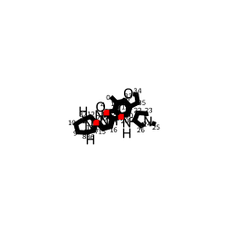 Cc1c(C(=O)N[C@H]2C[C@H]3CC[C@@H](C2)N3c2ccc(C(=O)N[C@@H]3CCN(C)C3)cn2)ccc2c1OCC2